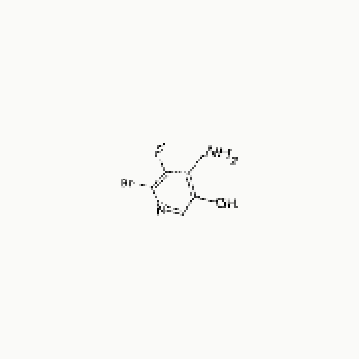 Nc1c(O)cnc(Br)c1F